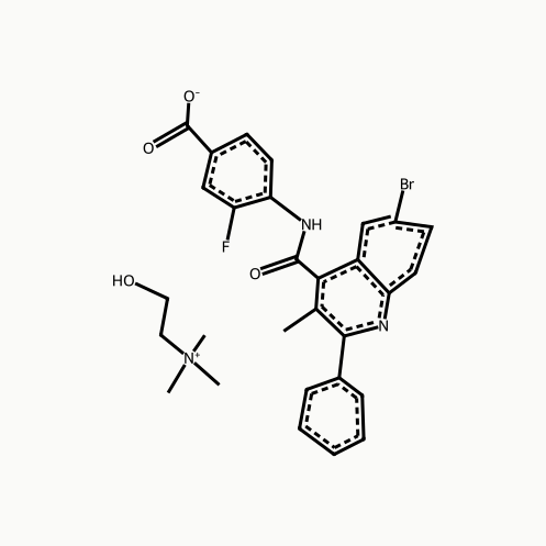 C[N+](C)(C)CCO.Cc1c(-c2ccccc2)nc2ccc(Br)cc2c1C(=O)Nc1ccc(C(=O)[O-])cc1F